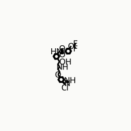 O=S(=O)(Nc1cccc(C(O)CNCCOc2ccc3c(Cl)n[nH]c3c2)c1)c1cccc(OC(F)F)c1